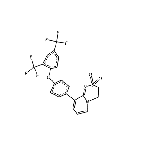 O=S1(=O)CCN2C=CC=C(c3ccc(Oc4ccc(C(F)(F)F)cc4C(F)(F)F)cc3)C2=N1